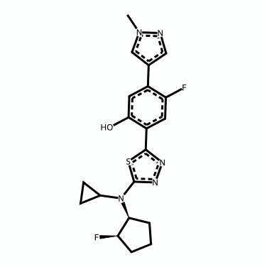 Cn1cc(-c2cc(O)c(-c3nnc(N(C4CC4)[C@H]4CCC[C@H]4F)s3)cc2F)cn1